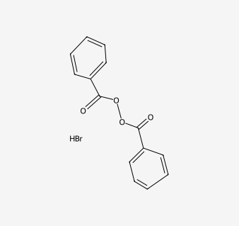 Br.O=C(OOC(=O)c1ccccc1)c1ccccc1